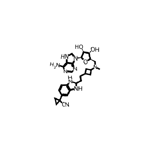 CN(C[C@H]1O[C@@H](N2CNc3c(N)ncnc32)[C@H](O)[C@@H]1O)C1CC(CCC2Nc3ccc(C4(C#N)CC4)cc3N2)C1